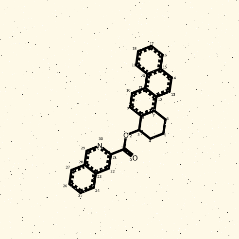 O=C(OC1CCCc2c1ccc1c2ccc2ccccc21)c1cc2ccccc2cn1